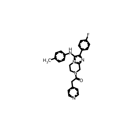 Cc1ccc(Nc2c(-c3ccc(F)cc3)nc3n2CCN(C(=O)Cc2ccncc2)C3)cc1